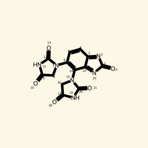 O=C1N=c2ccc(N3CC(=O)NC3=O)c(N3CC(=O)NC3=O)c2=N1